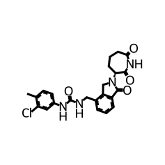 Cc1ccc(NC(=O)NCc2cccc3c2CN([C@H]2CCCC(=O)NC2=O)C3=O)cc1Cl